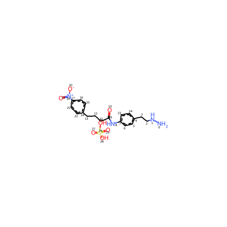 NNCCc1ccc(NC(=O)CCCc2ccc([N+](=O)[O-])cc2)cc1.O=S(=O)(O)O